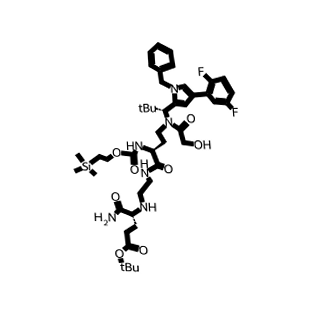 CC(C)(C)OC(=O)CC[C@@H](NCCNC(=O)[C@H](CCN(C(=O)CO)[C@@H](c1cc(-c2cc(F)ccc2F)cn1Cc1ccccc1)C(C)(C)C)NC(=O)OCC[Si](C)(C)C)C(N)=O